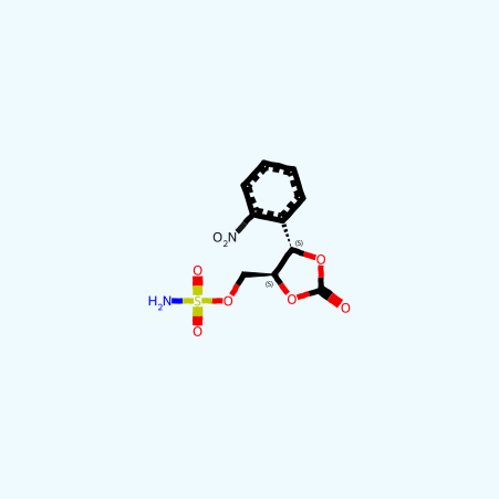 NS(=O)(=O)OC[C@@H]1OC(=O)O[C@H]1c1ccccc1[N+](=O)[O-]